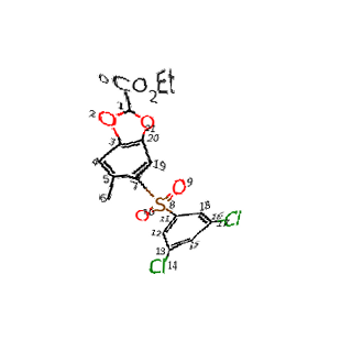 CCOC(=O)C1Oc2cc(C)c(S(=O)(=O)c3cc(Cl)cc(Cl)c3)cc2O1